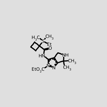 CCOC(=O)n1nc2c(c1NC(=O)C1(S(C)(C)CC)CCC1)CNC2(C)C